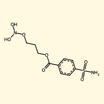 NS(=O)(=O)c1ccc(C(=O)OCCCON(O)O)cc1